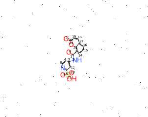 O=C(Nc1ccnc(S(=O)(=O)O)c1)c1cccc2ccc(=O)oc12